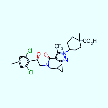 Cc1cc(Cl)c(C(=O)CN(CC2CC2)C(=O)c2cnn([C@H]3CC[C@](C)(C(=O)O)CC3)c2C(F)(F)F)c(Cl)c1